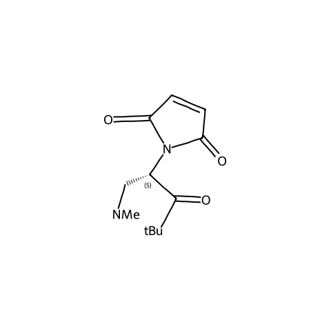 CNC[C@@H](C(=O)C(C)(C)C)N1C(=O)C=CC1=O